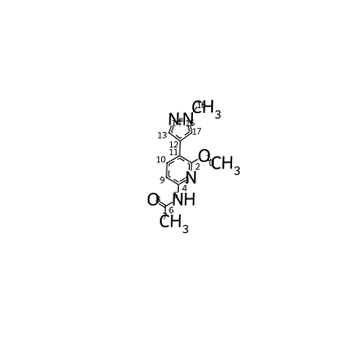 COc1nc(NC(C)=O)ccc1-c1cnn(C)c1